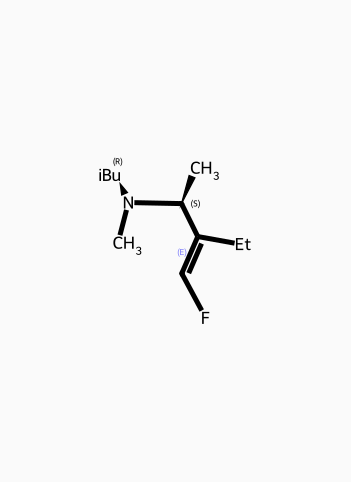 CC/C(=C\F)[C@H](C)N(C)[C@H](C)CC